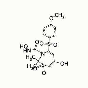 COc1ccc(S(=O)(=O)C2=CC(O)=CS(=O)(=O)C(C)(C)N2C(=O)NO)cc1